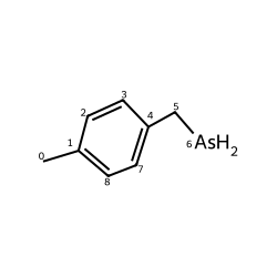 Cc1ccc(C[AsH2])cc1